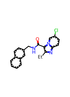 CCc1nc2ccc(Cl)cn2c1C(=O)NCc1ccc2ccccc2c1